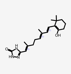 CC(/C=C/C1=C(O)CCCC1(C)C)=C\CC/C(C)=C/c1n[nH]c(=O)[nH]1